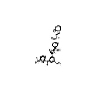 Cc1cc(Nc2nccc(C(F)(F)F)n2)cc(-c2cnc([C@]3(O)CC[C@H](C(=O)NCCN4CCCCC4=O)CC3)s2)c1